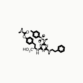 Cc1ccc(S(=O)(=O)N(C)c2nc(N[C@@H](Cc3ccc(OC(=O)N(C)C)cc3)C(=O)O)nc(N(C)CCc3ccccc3)n2)cc1